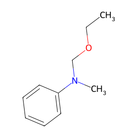 CCOCN(C)c1ccccc1